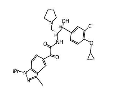 Cc1nn(C(C)C)c2ccc(C(=O)C(=O)N[C@H](CN3CCCC3)[C@H](O)c3ccc(OC4CC4)c(Cl)c3)cc12